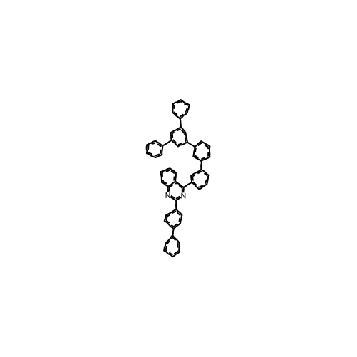 c1ccc(-c2ccc(-c3nc(-c4cccc(-c5cccc(-c6cc(-c7ccccc7)cc(-c7ccccc7)c6)c5)c4)c4ccccc4n3)cc2)cc1